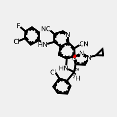 [2H][C@@](Nc1cc(C#N)c2ncc(C#N)c(Nc3ccc(F)c(Cl)c3)c2c1)(c1cn(C2CC2)nn1)c1ccccc1Cl